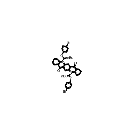 CCCCC(Oc1ccc(Br)cc1)n1c2ccccc2c(=O)c2cc3c(cc21)c(=O)c1ccccc1n3C(CCCC)Oc1ccc(Br)cc1